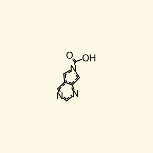 O=C(O)n1cc2cncnc2c1